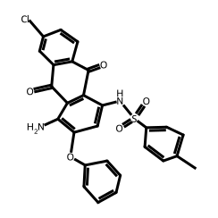 Cc1ccc(S(=O)(=O)Nc2cc(Oc3ccccc3)c(N)c3c2C(=O)c2ccc(Cl)cc2C3=O)cc1